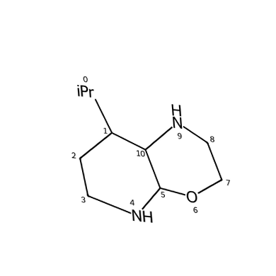 CC(C)C1CCNC2OCCNC21